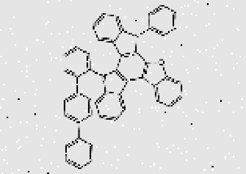 c1ccc(-c2ccc(-c3ccccc3-n3c4ccccc4c4c5c6ccccc6oc5c5c(c6ccccc6n5-c5ccccc5)c43)cc2)cc1